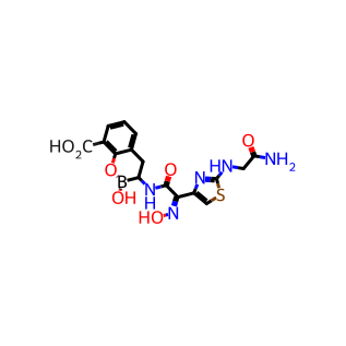 NC(=O)CNc1nc(C(=NO)C(=O)NC2Cc3cccc(C(=O)O)c3OB2O)cs1